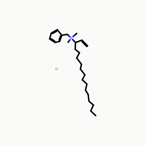 C=CC(CCCCCCCCCCCCCC)[N+](C)(C)Cc1ccccc1.[Cl-]